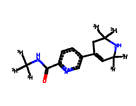 [2H]C([2H])([2H])NC(=O)c1ccc(C2=CC([2H])([2H])NC([2H])([2H])C2)cn1